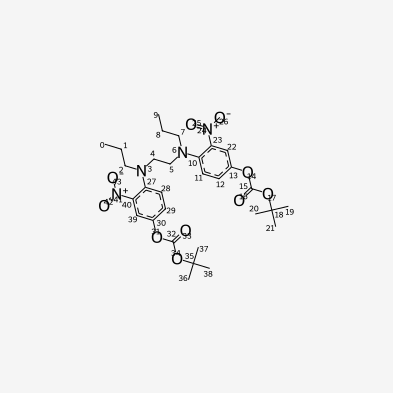 CCCN(CCN(CCC)c1ccc(OC(=O)OC(C)(C)C)cc1[N+](=O)[O-])c1ccc(OC(=O)OC(C)(C)C)cc1[N+](=O)[O-]